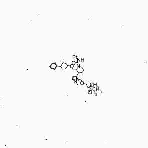 CCNC(=O)N1CCCC(c2ccnn2COCC[Si](C)(C)C)C1COC1CCC(c2ccccc2)CC1